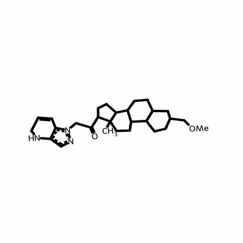 COCC1CCC2C(CCC3C2CCC2(C)C(C(=O)Cn4ncc5c4C=CCN5)CCC32)C1